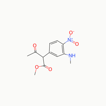 CNc1cc(C(C(C)=O)C(=O)OC)ccc1[N+](=O)[O-]